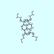 CCCOC(=O)c1ccc(C(=O)OCCC)c2c(C(=O)OCCC)ccc(C(=O)OCCC)c12